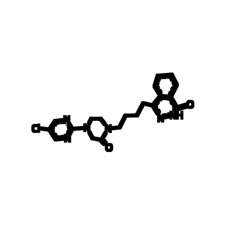 O=C1CN(c2ncc(Cl)cn2)CCN1CCCCc1n[nH]c(=O)c2ccccc12